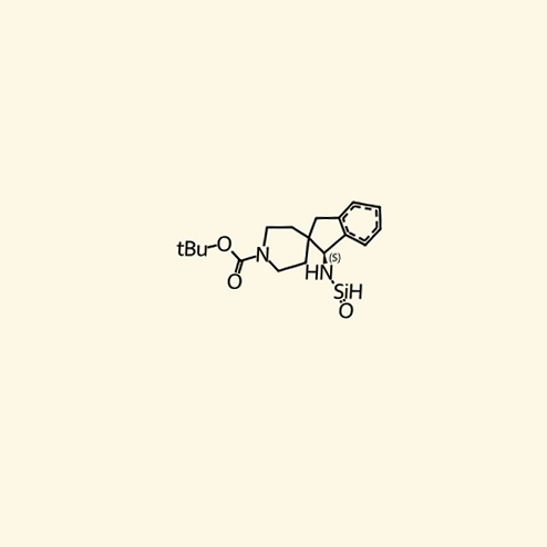 CC(C)(C)OC(=O)N1CCC2(CC1)Cc1ccccc1[C@H]2N[SiH]=O